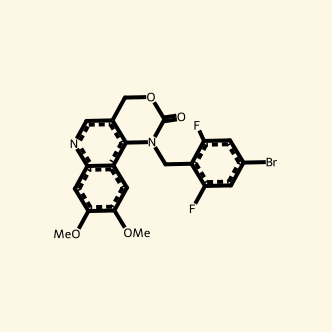 COc1cc2ncc3c(c2cc1OC)N(Cc1c(F)cc(Br)cc1F)C(=O)OC3